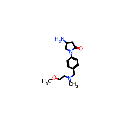 COCCN(C)Cc1ccc(N2CC(N)CC2=O)cc1